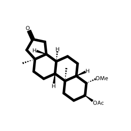 CO[C@@H]1[C@@H](OC(C)=O)CC[C@@]2(C)[C@@H]3CC[C@@]4(C)CC(=O)C[C@@H]4[C@H]3CC[C@H]12